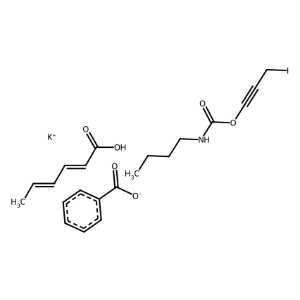 CC=CC=CC(=O)O.CCCCNC(=O)OC#CCI.O=C([O-])c1ccccc1.[K+]